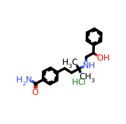 CC(C)(CCc1ccc(C(N)=O)cc1)NCC(O)c1ccccc1.Cl